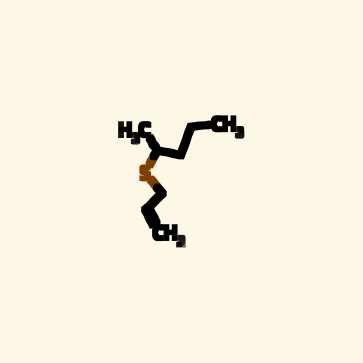 C=CCSC(C)CCC